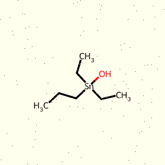 CC[CH2][Sn]([OH])([CH2]C)[CH2]C